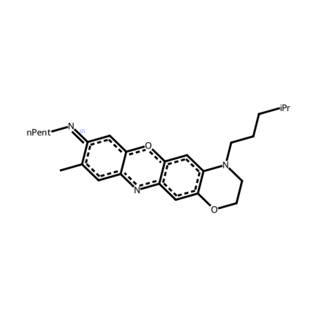 CCCCC/N=c1/cc2oc3cc4c(cc3nc-2cc1C)OCCN4CCCC(C)C